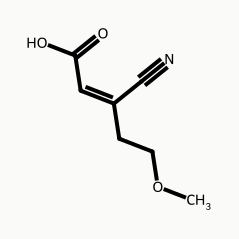 COCCC(C#N)=CC(=O)O